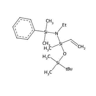 C=C[Si](C)(O[Si](C)(C)C(C)(C)C)N(CC)[Si](C)(C)c1ccccc1